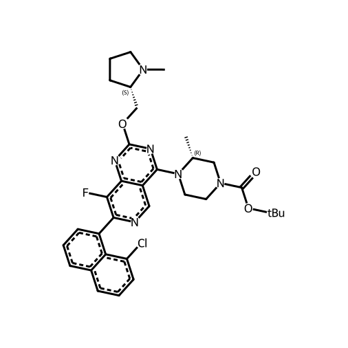 C[C@@H]1CN(C(=O)OC(C)(C)C)CCN1c1nc(OC[C@@H]2CCCN2C)nc2c(F)c(-c3cccc4cccc(Cl)c34)ncc12